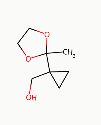 CC1(C2(CO)CC2)OCCO1